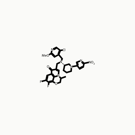 COc1cc(CN(Cc2cn3c4c(c(F)c(F)cc4c2=O)OCC3C)[C@H]2CCCN(c3ccc([N+](=O)[O-])nc3)C2)c(Cl)cn1